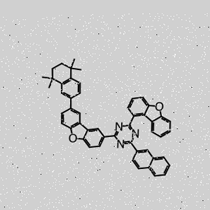 CC1(C)CCC(C)(C)c2cc(-c3ccc4oc5ccc(-c6nc(-c7ccc8ccccc8c7)nc(-c7cccc8oc9ccccc9c78)n6)cc5c4c3)ccc21